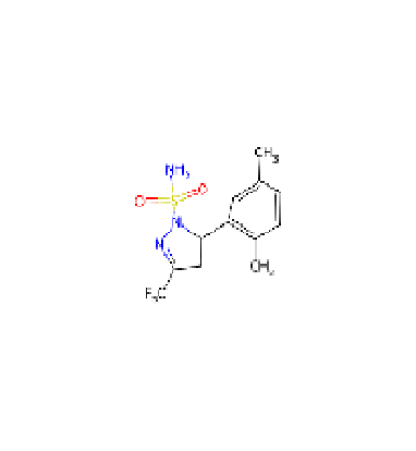 Cc1ccc(C)c(C2CC(C(F)(F)F)=NN2S(N)(=O)=O)c1